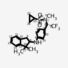 CN([C@@H](c1ccc(NC2Cc3ccccc3C2(C)C)cc1)C(F)(F)F)S(=O)(=O)C1CC1